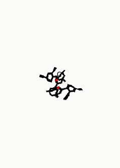 C#Cc1ccc(C23CC4(C)CC(C)(C2)CC(C25CC6(C)CC(C)(CC(c7ccc(C#C)cc7C#C)(C6)C2)C5)(C4)C3)c(C#C)c1